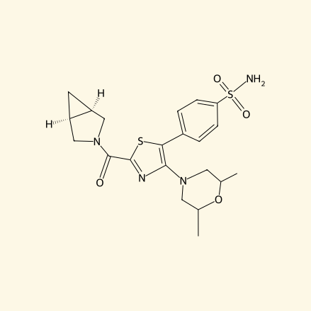 CC1CN(c2nc(C(=O)N3C[C@H]4C[C@H]4C3)sc2-c2ccc(S(N)(=O)=O)cc2)CC(C)O1